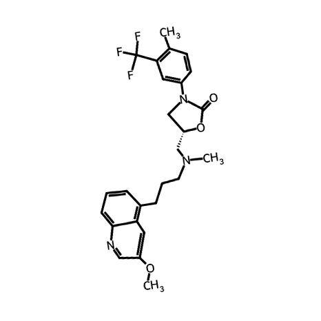 COc1cnc2cccc(CCCN(C)C[C@@H]3CN(c4ccc(C)c(C(F)(F)F)c4)C(=O)O3)c2c1